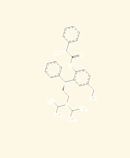 CC(C)N(CC[C@@H](c1ccccc1)c1cc(CO)ccc1OC(=O)[C@H](O)c1ccccc1)C(C)C